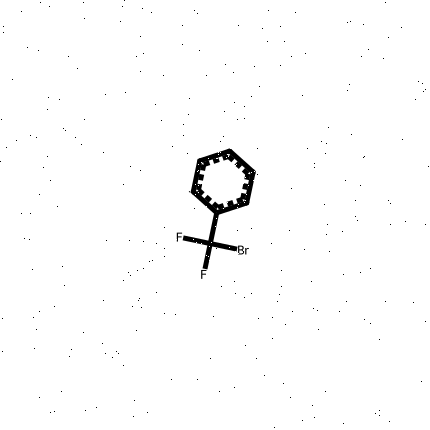 FC(F)(Br)c1[c]cccc1